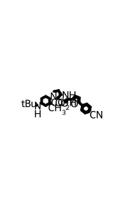 CC(C)(C)NC1CCC(N2CC[C@H](NC(=O)c3ccc(-c4ccc(C#N)cc4)o3)C2=O)C(C)(C(=O)O)C1